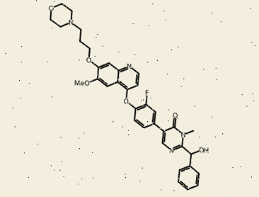 COc1cc2c(Oc3ccc(-c4cnc(C(O)c5ccccc5)n(C)c4=O)cc3F)ccnc2cc1OCCCN1CCOCC1